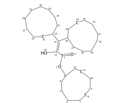 O=C(OC1CCCCCCCCC1)C(O)=C(C1CCCCCCCCC1)C1CCCCCCCCC1